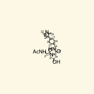 CC(=O)N[C@@H](C)C(=O)N1C[C@H](O)C[C@H]1C(=O)NCc1ccc(-c2sc(C)nc2C)cc1